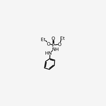 CCOP(=O)(NNc1ccccc1)OCC